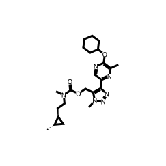 Cc1nc(-c2nnn(C)c2COC(=O)N(C)CC[C@H]2C[C@@H]2C)cnc1OC1CCCCC1